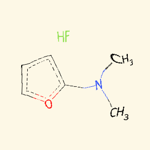 CN(C)c1ccco1.F